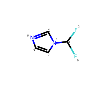 FC(F)n1[c]n[c]c1